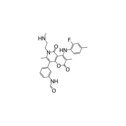 CNCCn1c(C)c(-c2cccc(NC=O)c2)c2oc(=O)c(C)c(Nc3ccc(C)cc3F)c2c1=O